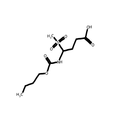 CCCCOC(=O)NC(CCC(=O)O)S(C)(=O)=O